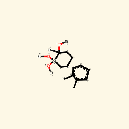 CCOC1(CC)CCCC[Si]1(OCC)OCC.Cc1ccccc1C